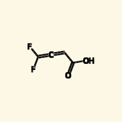 O=C(O)C=C=C(F)F